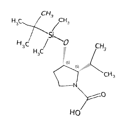 CC(C)[C@H]1[C@@H](O[Si](C)(C)C(C)(C)C)CCN1C(=O)O